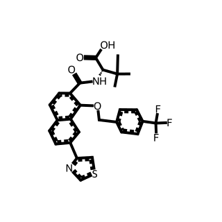 CC(C)(C)[C@H](NC(=O)c1ccc2ccc(-c3cscn3)cc2c1OCc1ccc(C(F)(F)F)cc1)C(=O)O